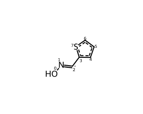 O/N=[C]/c1cccs1